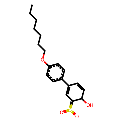 CCCCCCCOc1ccc(C2=CC(=S(=O)=O)C(O)C=C2)cc1